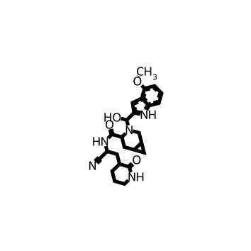 COc1cccc2[nH]c(C(O)N3CC4CC4CC3C(=O)NC(C#N)CC3CCCNC3=O)cc12